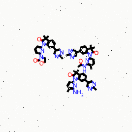 CC(=O)Nc1nc(N2C(=O)C(C)(C)c3ccc(-c4cnc(C)nc4)cc32)ccc1C.Cc1ncc(-c2ccc3c(c2)N(c2ccc(C)c(N)n2)C(=O)C3(C)C)cn1.Cc1ncc(-c2ccc3c(c2)N(c2cccc(N4CCOC4=O)n2)C(=O)C3(C)C)cn1